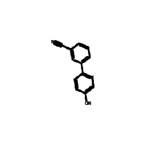 N#Cc1cccc(-c2ccc(O)cn2)c1